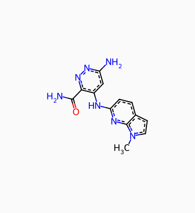 Cn1ccc2ccc(Nc3cc(N)nnc3C(N)=O)nc21